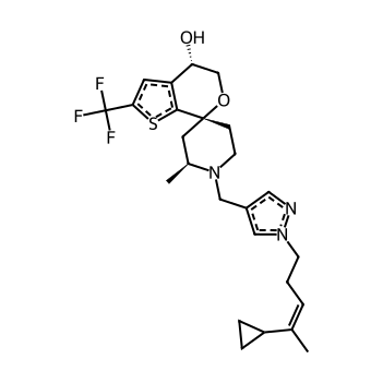 CC(=CCCn1cc(CN2CC[C@]3(C[C@@H]2C)OC[C@@H](O)c2cc(C(F)(F)F)sc23)cn1)C1CC1